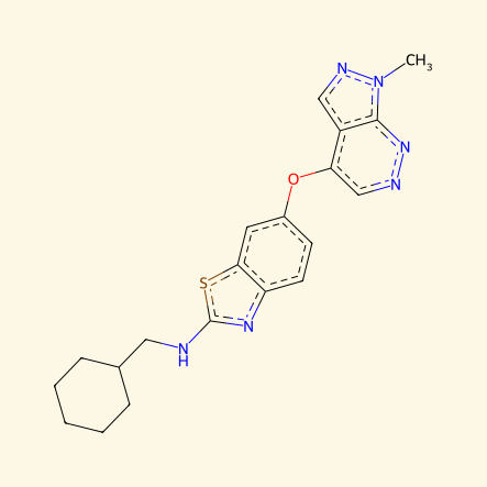 Cn1ncc2c(Oc3ccc4nc(NCC5CCCCC5)sc4c3)cnnc21